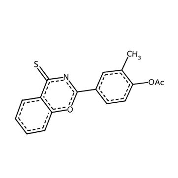 CC(=O)Oc1ccc(-c2nc(=S)c3ccccc3o2)cc1C